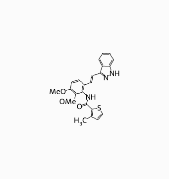 COc1ccc(C=Cc2n[nH]c3ccccc23)c(NC(=O)c2sccc2C)c1OC